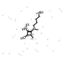 CCNC1=C(N(C)CCCCC(C)(C)C)C(C)C1O